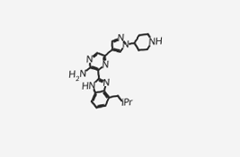 CC(C)Cc1cccc2[nH]c(-c3nc(-c4cnn(C5CCNCC5)c4)cnc3N)nc12